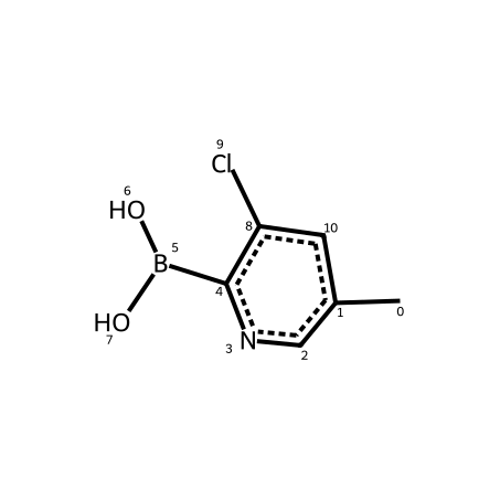 Cc1cnc(B(O)O)c(Cl)c1